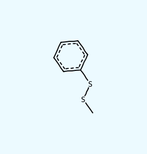 CSSc1ccccc1